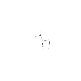 CCC(O)C1COOC1